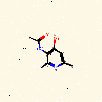 CC(=O)Nc1c(O)cc(C)nc1C